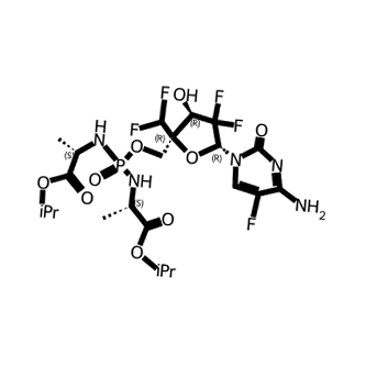 CC(C)OC(=O)[C@H](C)NP(=O)(N[C@@H](C)C(=O)OC(C)C)OC[C@@]1(C(F)F)O[C@@H](n2cc(F)c(N)nc2=O)C(F)(F)[C@@H]1O